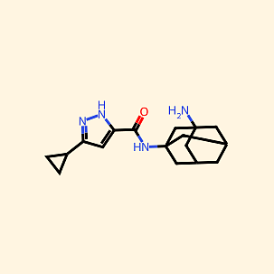 NC12CC3CC(C1)CC(NC(=O)c1cc(C4CC4)n[nH]1)(C3)C2